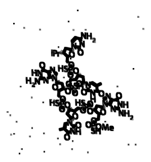 COP(=O)(S)OCC1O[C@@H](n2cnc3c(=O)[nH]c(N)nc32)C[C@H]1OP(=O)(S)OCC1O[C@@H](n2cc(C)c(=O)[nH]c2=O)C[C@H]1OP(=O)(S)OCC1O[C@@H](n2cnc3c(=O)[nH]c(N)nc32)C[C@H]1OP(=O)(S)OCC1O[C@@H](n2cc(C)c(=O)[nH]c2=O)C[C@H]1OP(=O)(S)OCC1O[C@@H](n2ccc(N)nc2=O)C[C@H]1C(C)C